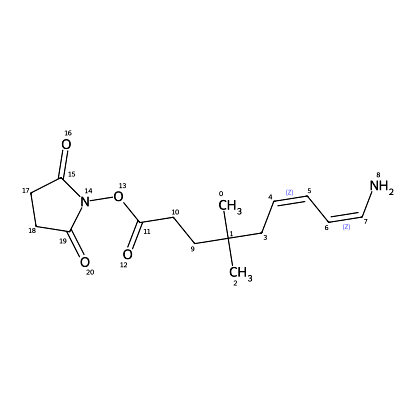 CC(C)(C/C=C\C=C/N)CCC(=O)ON1C(=O)CCC1=O